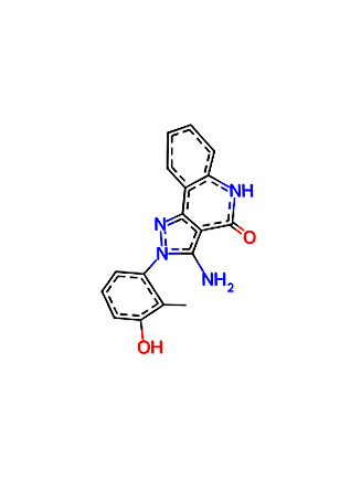 Cc1c(O)cccc1-n1nc2c(c1N)c(=O)[nH]c1ccccc12